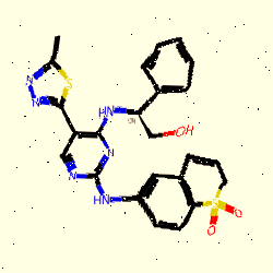 Cc1nnc(-c2cnc(Nc3ccc4c(c3)C=CCS4(=O)=O)nc2N[C@H](CO)c2ccccc2)s1